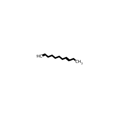 [CH]=CCCCCCC=CCC